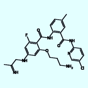 CC(=N)CNc1cc(F)c(C(=O)Nc2ccc(C)cc2C(=O)Nc2ccc(Cl)cn2)c(OCCCN)c1